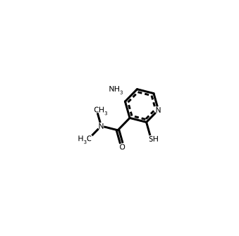 CN(C)C(=O)c1cccnc1S.N